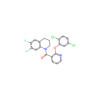 O=C(c1cccnc1Oc1cc(Cl)ccc1Cl)N1CCCc2cc(F)c(F)cc21